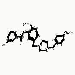 COc1ccc(CN2CCN(Cc3ccc(OC)c(NC(=O)c4cccc(F)c4)c3)CC2)cc1